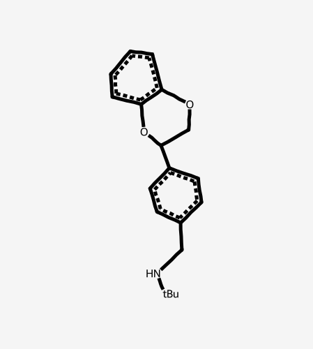 CC(C)(C)NCc1ccc(C2COc3ccccc3O2)cc1